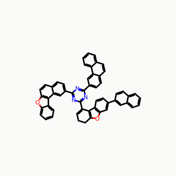 C1=C(c2nc(-c3ccc4ccc5ccccc5c4c3)nc(-c3ccc4ccc5oc6ccccc6c5c4c3)n2)c2c(oc3cc(-c4ccc5ccccc5c4)ccc23)CC1